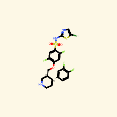 O=S(=O)(Nc1ncc(Cl)s1)c1cc(F)c(OC[C@@H]2CNCC[C@H]2c2ccc(F)c(F)c2)cc1F